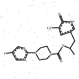 CC(Cc1c[nH]c(=O)c(C(F)(F)F)c1)OC(=O)N1CCN(c2ncc(F)cn2)CC1